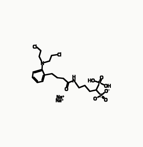 O=C(CCCc1ccccc1N(CCCl)CCCl)NCCCC(P(=O)([O-])[O-])P(=O)(O)O.[Na+].[Na+]